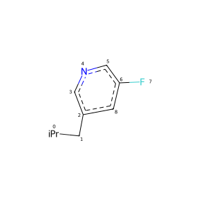 CC(C)Cc1cncc(F)c1